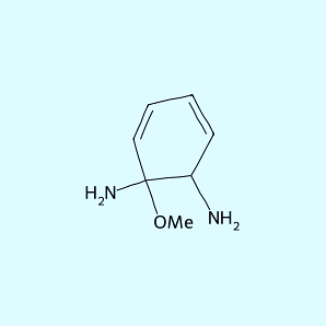 COC1(N)C=CC=CC1N